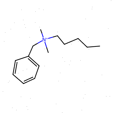 CCCCC[N+](C)(C)Cc1ccccc1